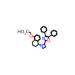 O=C(O)COc1cccc2c1CCCC2N1CCC1c1nc(-c2ccccc2)c(-c2ccccc2)o1